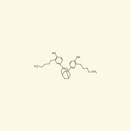 CCCCCc1cc(C23CC4CC(C2)CC(c2ccc(O)c(CCCCC)c2)(C4)C3)ccc1O